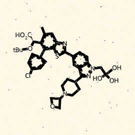 Cc1cc2nc(-c3ccc4c(c3)c(C3CCN(C5COC5)CC3)nn4CC(O)(O)O)sc2c(-c2ccc(Cl)cc2)c1[C@H](OC(C)(C)C)C(=O)O